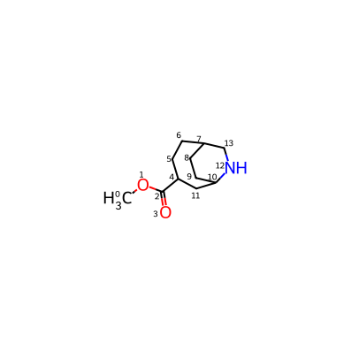 COC(=O)C1CCC2CCC(C1)NC2